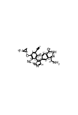 C#Cc1cc(O[C@H]2C[C@H]2F)c(C#N)c(-c2c(-c3ccc4c(=O)[nH]nc(CN)c4c3)cnn2C)c1F